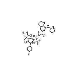 C[C@]1(C(N)=O)COc2c1cc([C@@](O)(CNC(=O)c1cc(Oc3ccccn3)c3ncccc3c1)C(F)(F)F)nc2-c1ccc(F)cc1